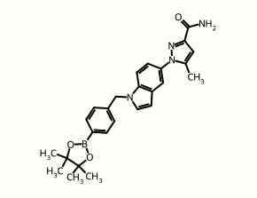 Cc1cc(C(N)=O)nn1-c1ccc2c(ccn2Cc2ccc(B3OC(C)(C)C(C)(C)O3)cc2)c1